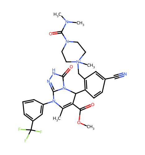 COC(=O)C1=C(C)N(c2cccc(C(F)(F)F)c2)c2n[nH]c(=O)n2C1c1ccc(C#N)cc1C[N+]1(C)CCN(C(=O)N(C)C)CC1